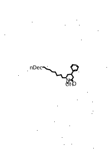 CCCCCCCCCCCCCCCCCCC1CC(c2ccccc2)CC(=O)N1O